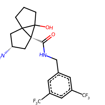 N[C@@H]1CC23CCCC2(O)[C@@]3(C(=O)NCc2cc(C(F)(F)F)cc(C(F)(F)F)c2)C1